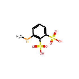 CPc1cccc(S(=O)(=O)O)c1S(=O)(=O)O